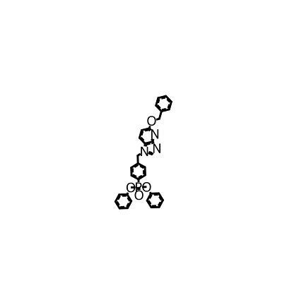 O=P(Oc1ccccc1)(Oc1ccccc1)c1ccc(Cn2cnc3nc(OCc4ccccc4)ccc32)cc1